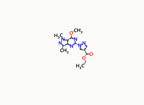 CCOC(=O)c1cnn(-c2nc(OC)c3c(n2)c(C)nn3C)c1